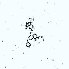 CC(C)(O)c1ccc(OCCCN(Cc2ccc(F)cc2)Cc2cccc(C(F)(F)F)c2F)cc1S(C)(=O)=O